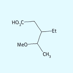 CCC(CC(=O)O)C(C)OC